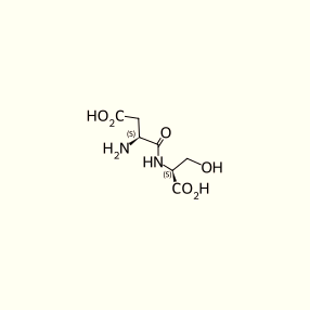 N[C@@H](CC(=O)O)C(=O)N[C@@H](CO)C(=O)O